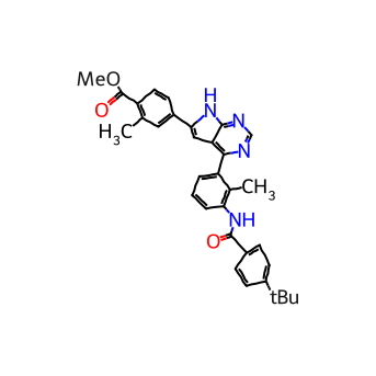 COC(=O)c1ccc(-c2cc3c(-c4cccc(NC(=O)c5ccc(C(C)(C)C)cc5)c4C)ncnc3[nH]2)cc1C